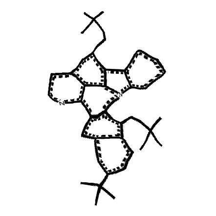 CC(C)(C)Cc1cc2ccnc3c4cc5cc(C(C)(C)C)ccc5c(CC(C)(C)C)c4n4c5ccccc5c1c4c23